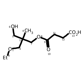 CCOCC(C)(CO)COC(=O)CCC(=O)O